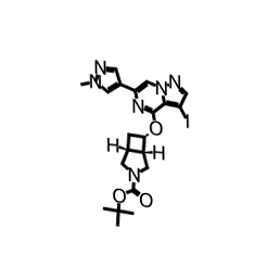 Cn1cc(-c2cn3ncc(I)c3c(O[C@H]3C[C@H]4CN(C(=O)OC(C)(C)C)C[C@H]43)n2)cn1